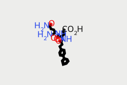 NC(=O)CCC(NC(=O)C(CCC(=O)O)NC(=O)CCc1ccc(-c2ccccc2)cc1)C(N)=O